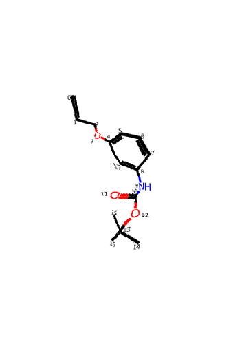 C=CCOc1cccc(NC(=O)OC(C)(C)C)c1